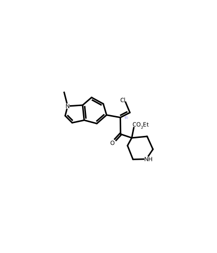 CCOC(=O)C1(C(=O)/C(=C/Cl)c2ccc3c(ccn3C)c2)CCNCC1